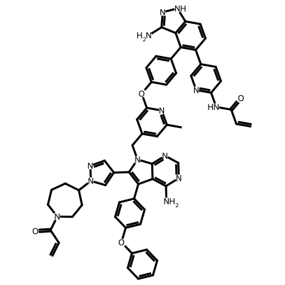 C=CC(=O)Nc1ccc(-c2ccc3[nH]nc(N)c3c2-c2ccc(Oc3cc(Cn4c(-c5cnn(C6CCCN(C(=O)C=C)CC6)c5)c(-c5ccc(Oc6ccccc6)cc5)c5c(N)ncnc54)cc(C)n3)cc2)cn1